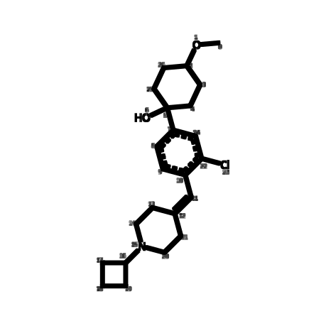 COC1CCC(O)(c2ccc(C=C3CCN(C4CCC4)CC3)c(Cl)c2)CC1